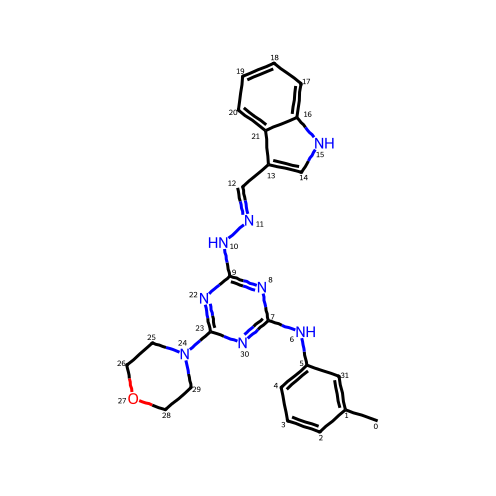 Cc1cccc(Nc2nc(N/N=C/c3c[nH]c4ccccc34)nc(N3CCOCC3)n2)c1